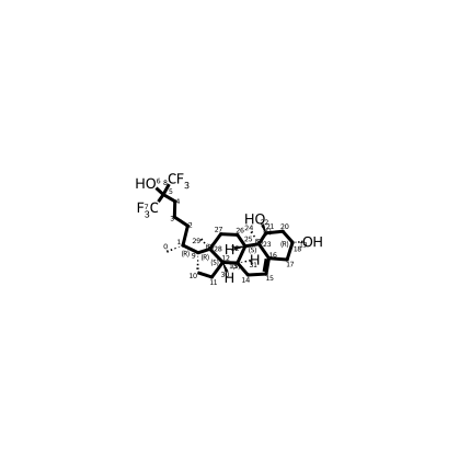 C[C@H](CCCC(O)(C(F)(F)F)C(F)(F)F)[C@H]1CC[C@H]2[C@@H]3CC=C4C[C@@H](O)C[C@H](O)[C@]4(C)[C@H]3CC[C@]12C